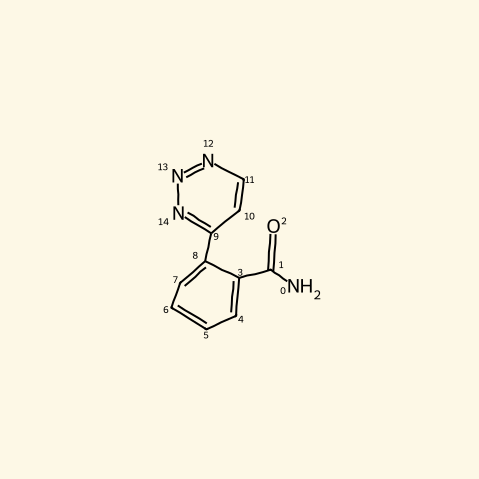 NC(=O)c1ccccc1-c1ccnnn1